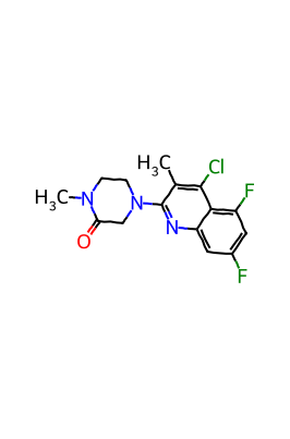 Cc1c(N2CCN(C)C(=O)C2)nc2cc(F)cc(F)c2c1Cl